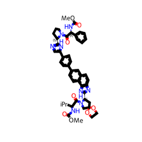 COC(=O)NC(C(=O)N1CC2(C[C@H]1c1nc3ccc4cc(-c5ccc(-c6cnc([C@@H]7CCCN7C(=O)[C@H](NC(=O)OC)c7ccccc7)[nH]6)cc5)ccc4c3[nH]1)OCCO2)C(C)C